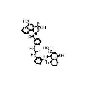 O=C(Nc1cccc(C(=O)Nc2c(S(=O)(=O)O)cc(O)c3ccccc23)c1)Nc1cccc(C(=O)Nc2c(S(=O)(=O)O)cc(O)c3ccccc23)c1